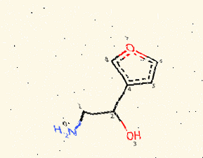 NCC(O)c1ccoc1